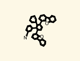 N#Cc1cccc(-c2c(-c3cccc4c3oc3ccccc34)ccc(-c3cccc4c3oc3ccccc34)c2-c2ccccc2)c1